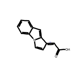 O=C(O)/C=c1\ccn2c1cc1ccccc12